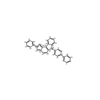 c1ccc(-c2ccc(-n3c4ccccc4c4c5nn(-c6ccccc6)cc5ccc43)cc2)cc1